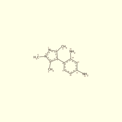 Cc1nn(C)c(C)c1-c1ccc(N)cc1N